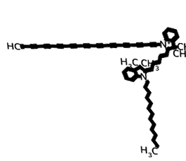 C#CC#CC#CC#CC#CC#CC#CC#CC#CC#CC#C[N+]1=C(/C=C/C=C/C=C2/N(CCCCCCCCCCCCCC)c3ccccc3C2(C)C)C(C)(C)c2ccccc21